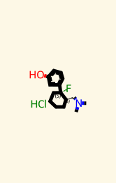 CN(C)C[C@@H]1CCCC[C@@]1(F)c1cccc(O)c1.Cl